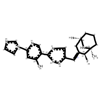 C[C@]12CCC[C@H](C/C(=C\c3cnc(-c4cnc(-n5ccnc5)cc4O)nn3)[C@@H]1F)N2